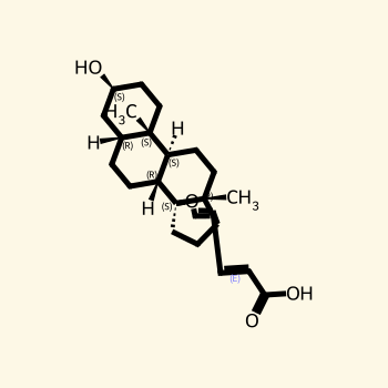 C[C@]12CC[C@H](O)C[C@H]1CC[C@@H]1[C@@H]2CC[C@]2(C)C3CC[C@]12OC=C3/C=C/C(=O)O